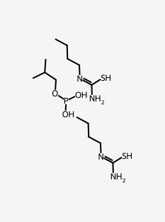 CC(C)COP(O)O.CCCCN=C(N)S.CCCCN=C(N)S